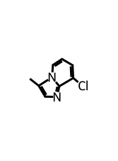 Cc1cnc2c(Cl)cccn12